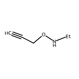 C#CCONCC